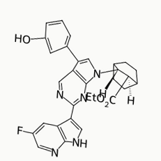 CCOC(=O)[C@@H]1C2CCC(CC2)[C@H]1n1cc(-c2cccc(O)c2)c2cnc(-c3c[nH]c4ncc(F)cc34)nc21